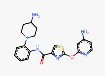 Nc1ccnc(Oc2nc(C(=O)Nc3ccccc3N3CCC(N)CC3)cs2)c1